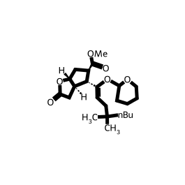 CCCCC(C)(C)CC=C(OC1CCCCO1)[C@@H]1[C@H]2CC(=O)O[C@@H]2C[C@H]1C(=O)OC